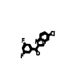 O=C(c1cc(F)cc(F)c1)c1cn2cc(Cl)ccc2n1